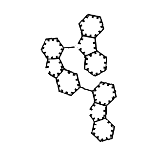 c1cc(-n2c3ccccc3c3ccccc32)c2c(c1)oc1ccc(-c3cccc4c3sc3ccccc34)cc12